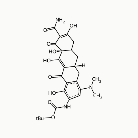 CN(C)c1cc(NC(=O)OC(C)(C)C)c(O)c2c1C[C@H]1CC3CC(O)=C(C(N)=O)C(=O)[C@@]3(O)C(O)=C1C2=O